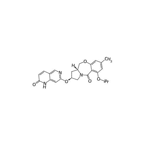 Cc1cc2c(c(OC(C)C)c1)C(=O)N1C[C@@H](Oc3cc4[nH]c(=O)ccc4cn3)C[C@@H]1CO2